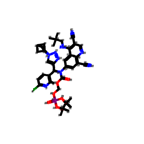 Cc1nc(F)ccc1C(c1cn(C23CC(C2)C3)nn1)N(C(=O)OCOP(=O)(OC(C)(C)C)OC(C)(C)C)c1cc(C#N)c2ncc(C#N)c(NCC(C)(C)C)c2c1